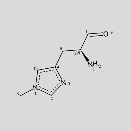 Cn1cnc(C[C@H](N)C=O)c1